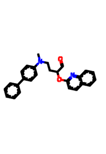 CN(CCC(C=O)Oc1ccc2ccccc2n1)c1ccc(-c2ccccc2)cc1